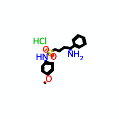 COc1ccc(NS(=O)(=O)CCCC(N)c2ccccc2)cc1.Cl